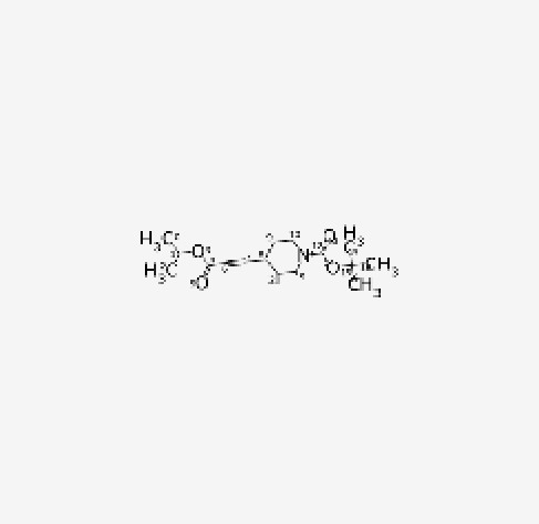 CC(C)OC(=O)C#CC1CCN(C(=O)OC(C)(C)C)CC1